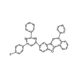 Fc1ccc(-c2cc(-c3ccc4oc5c6ccccc6c(-c6ccccc6)cc5c4c3)nc(-c3ccccc3)n2)cc1